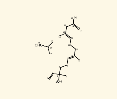 C=CC(C)(O)CCC=C(C)CCC=C(C)CC(=O)C(C)C.CN(C)C=O